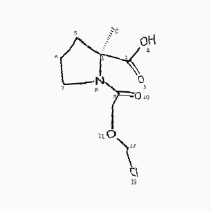 C[C@@]1(C(=O)O)CCCN1C(=O)OCCl